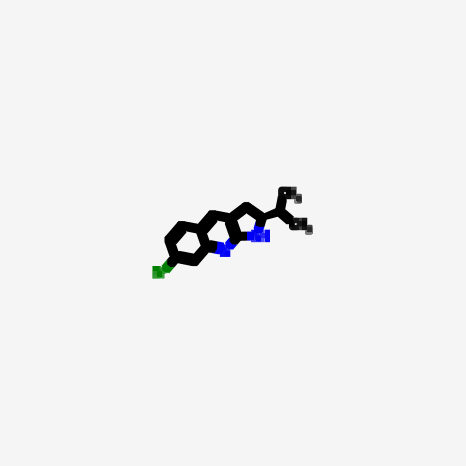 CC(C)[C@@H]1Cc2cc3ccc(Br)cc3nc2N1